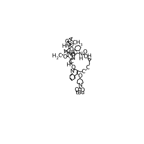 C=C[C@@H]1C[C@]1(NC(=O)[C@@H]1C[C@@H]2CN1C(=O)[C@H](C1(C)CCCCC1)NC(=O)O[C@@H]1CC1CCCCCc1c(nc3ccccc3c1OC1CCN(C(=O)OC(C)(C)C)CC1)O2)C(=O)NS(=O)(=O)C1(C)CC1